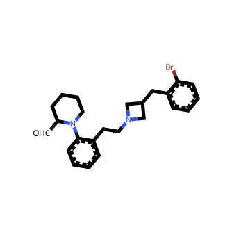 O=CC1CCCCN1c1ccccc1CCN1CC(Cc2ccccc2Br)C1